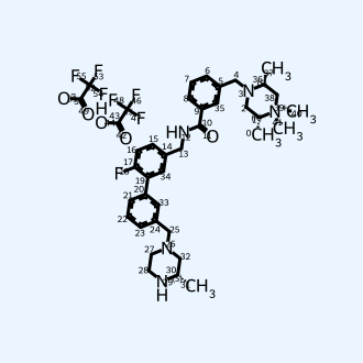 C[C@@H]1CN(Cc2cccc(C(=O)NCc3ccc(F)c(-c4cccc(CN5CCN[C@@H](C)C5)c4)c3)c2)[C@@H](C)C[N+]1(C)C.O=C(O)C(F)(F)F.O=C([O-])C(F)(F)F